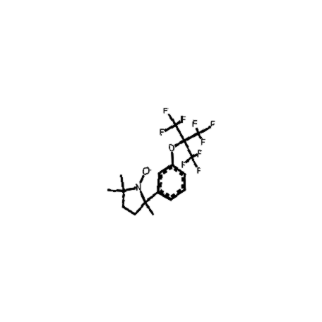 CC1(C)CCC(C)(c2cccc(OC(C(F)(F)F)(C(F)(F)F)C(F)(F)F)c2)N1[O]